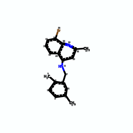 Cc1ccc(C)c(CNc2cc(C)nc3c(Br)cccc23)c1